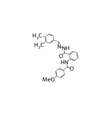 COc1ccc(C(=O)Nc2ccccc2C(=O)NN=Cc2ccc(C)c(C)c2)cc1